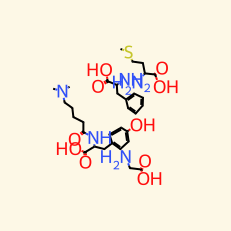 CN(C)CCCCC(=O)NC(Cc1ccc(O)cc1)C(=O)O.CSCCC(N)C(=O)O.NC(Cc1ccccc1)C(=O)O.NCC(=O)O